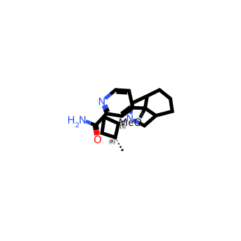 COC1(c2ccnc(C(N)=O)c2)C2CCCC1CN([C@H]1CC[C@H]1C)C2